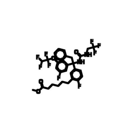 COC(=O)CCCCCc1cc(C(Cc2ccccc2)(NC(=O)NCC(F)(F)F)c2cc(F)cc(OC(F)(F)C(F)F)c2)ccc1F